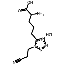 Cl.N#CCCn1nnnc1CCC[C@H](N)C(=O)O